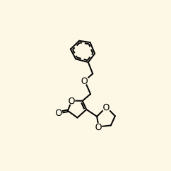 O=C1CC(C2OCCO2)=C(COCc2ccccc2)O1